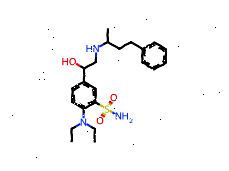 CCN(CC)c1ccc(C(O)CNC(C)CCc2ccccc2)cc1S(N)(=O)=O